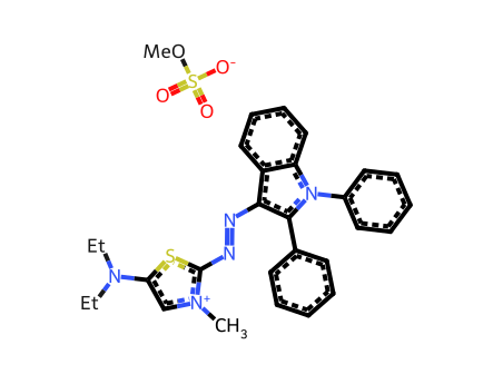 CCN(CC)c1c[n+](C)c(N=Nc2c(-c3ccccc3)n(-c3ccccc3)c3ccccc23)s1.COS(=O)(=O)[O-]